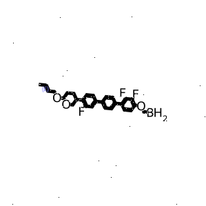 BCOc1ccc(-c2ccc(-c3ccc(C4CCC(OC/C=C/C)OC4)c(F)c3)cc2)c(F)c1F